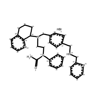 Br.NC(=O)N(CCN(Cc1ccc(CNCc2ccccn2)cc1)C1CCCc2cccnc21)c1ccccc1